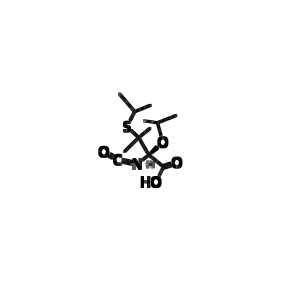 CC(C)O[C@](N=C=O)(C(=O)O)C(C)(C)SC(C)C